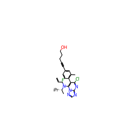 C=CCN(c1c(-c2c(C)cc(C#CCCCO)cc2F)c(Cl)nc2ncnn12)[C@H](C)C(C)C